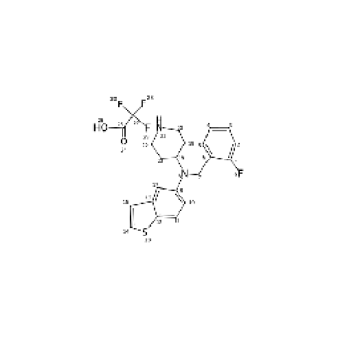 Fc1ccccc1CN(c1ccc2sccc2c1)C1CCNCC1.O=C(O)C(F)(F)F